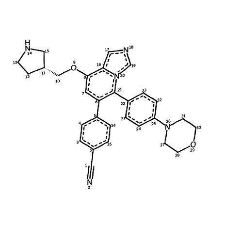 N#Cc1ccc(-c2cc(OC[C@@H]3CCNC3)c3cncn3c2-c2ccc(N3CCOCC3)cc2)cc1